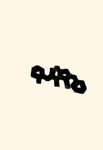 Cc1ccccc1CC(=O)NN1C(=O)CN(Cc2ccccc2)C1=O